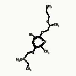 CCCOC(C)COc1nc(C)c(N=CN(C)CC)cc1Br